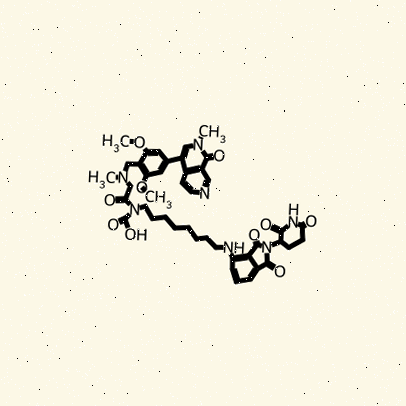 COc1cc(-c2cn(C)c(=O)c3cnccc23)cc(OC)c1CN(C)CC(=O)N(CCCCCCCCNc1cccc2c1C(=O)N(C1CCC(=O)NC1=O)C2=O)C(=O)O